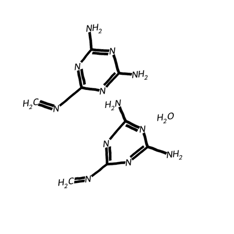 C=Nc1nc(N)nc(N)n1.C=Nc1nc(N)nc(N)n1.O